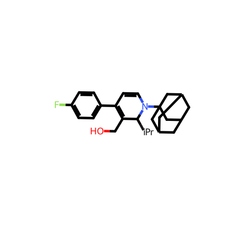 CC(C)C1C(CO)=C(c2ccc(F)cc2)C=CN1C12CC3CC(CC(C3)C1)C2